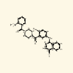 Nc1ccccc1C(=O)N1CCN(C(=O)c2cc(Oc3n[nH]c(=O)c4ccccc34)ccc2F)CC1